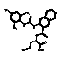 COC(=O)[C@H](COC(C)(C)C)NC(=O)c1cc2ccccc2cc1NC(=O)Nc1c(C)cc(C)cc1C